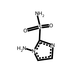 Nn1ccnc1S(N)(=O)=O